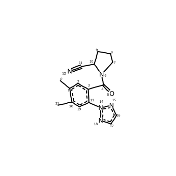 Cc1cc(C(=O)N2CCCC2C#N)c(-n2nccn2)cc1C